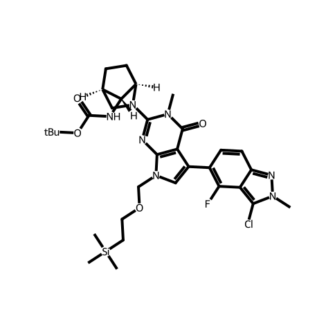 Cn1nc2ccc(-c3cn(COCC[Si](C)(C)C)c4nc(N5C[C@H]6CC[C@@H]5[C@@H]6NC(=O)OC(C)(C)C)n(C)c(=O)c34)c(F)c2c1Cl